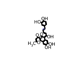 Cc1cc(=O)cc(-c2cc(O)c(O)cc2-c2c(O)cc(/C=C/c3ccc(O)c(O)c3)oc2=O)o1